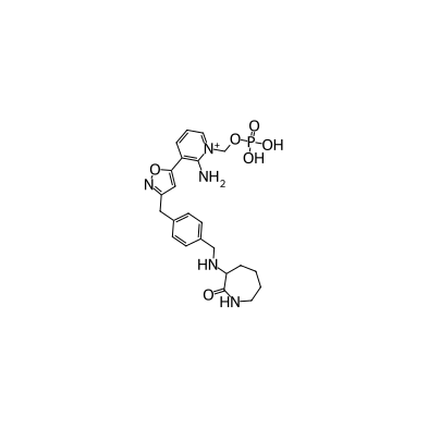 Nc1c(-c2cc(Cc3ccc(CNC4CCCCNC4=O)cc3)no2)ccc[n+]1COP(=O)(O)O